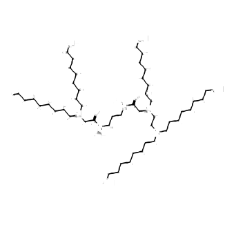 CCCCCCCCCN(CCCCCCCCC)CCN(CCCCCCCCC)CC(=O)N(C)CCCN(C)C(=O)CN(CCCCCCCCC)CCCCCCCCC